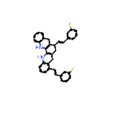 Fc1cccc(C=Cc2cccc3c2CC2=C(N3)C3=C(Cc4ccccc4N3)C(C=Cc3cccc(F)c3)C2)c1